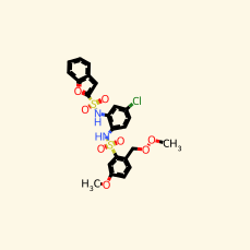 COOCc1ccc(OC)cc1S(=O)(=O)Nc1ccc(Cl)cc1NS(=O)(=O)c1cc2ccccc2o1